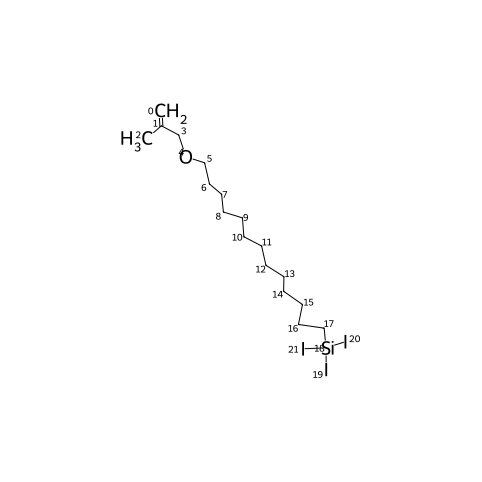 C=C(C)COCCCCCCCCCCCCC[Si](I)(I)I